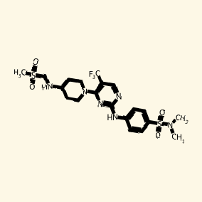 CN(C)S(=O)(=O)c1ccc(Nc2ncc(C(F)(F)F)c(N3CCC(NCS(C)(=O)=O)CC3)n2)cc1